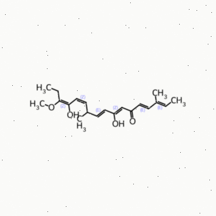 C/C=C(C)/C=C/C(=O)/C=C(O)/C=C/C(C)/C=C\C(O)=C(/CC)OC